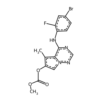 COC(=O)Oc1cn2ncnc(Nc3ccc(Br)cc3F)c2c1C